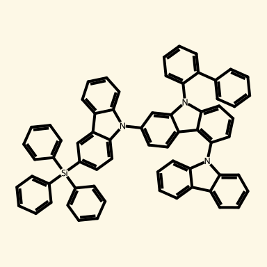 c1ccc(-c2ccccc2-n2c3cc(-n4c5ccccc5c5cc([Si](c6ccccc6)(c6ccccc6)c6ccccc6)ccc54)ccc3c3c(-n4c5ccccc5c5ccccc54)cccc32)cc1